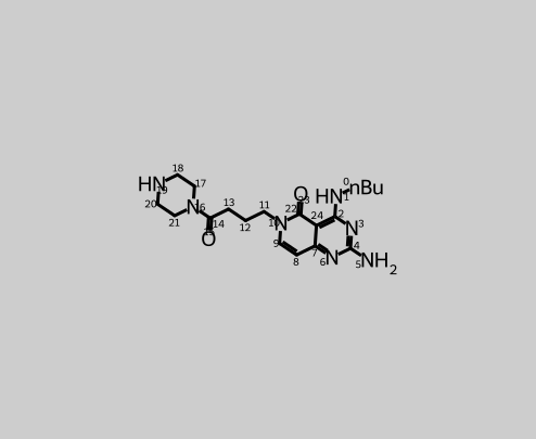 CCCCNc1nc(N)nc2ccn(CCCC(=O)N3CCNCC3)c(=O)c12